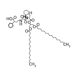 CCCCCCCCCCCCCCCC(=O)OCC(COC(=O)CCCCCCCCCCCCCCC)OC(=O)[C@@H]1C[C@@H]2CCCC[C@@H]2N1C(=O)[C@H](C)NCCC(C(=O)O)c1ccccc1